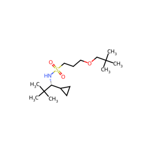 CC(C)(C)COCCCS(=O)(=O)N[C@H](C1CC1)C(C)(C)C